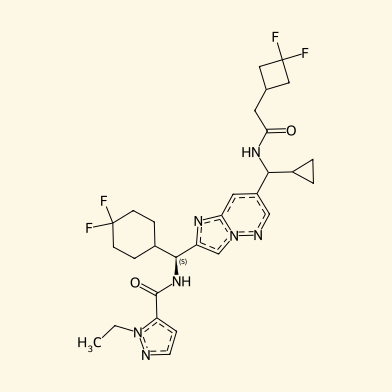 CCn1nccc1C(=O)N[C@H](c1cn2ncc(C(NC(=O)CC3CC(F)(F)C3)C3CC3)cc2n1)C1CCC(F)(F)CC1